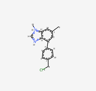 Cc1cc(-c2ccc(CCl)cc2)c2ncn(C)c2c1